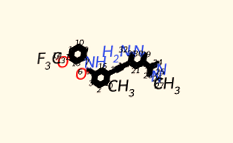 Cc1ccc(C(=O)Nc2cccc(OC(F)(F)F)c2)cc1C#Cc1cc(-c2cnn(C)c2)cnc1N